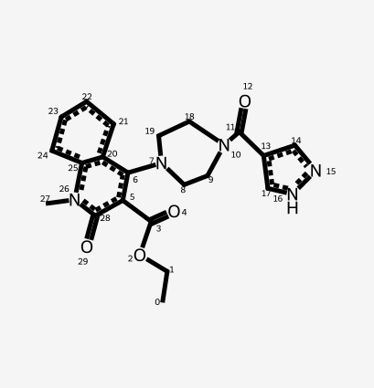 CCOC(=O)c1c(N2CCN(C(=O)c3cn[nH]c3)CC2)c2ccccc2n(C)c1=O